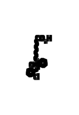 O=C(O)CCCCCCCn1c(=O)n(Cc2ccccc2Cl)c2ccccc21